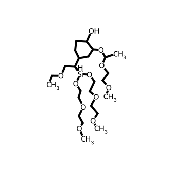 CCOCC(C1CCC(O)C(OC(C)OCCOC)C1)[SiH](OCCOCCOC)OCCOCCOC